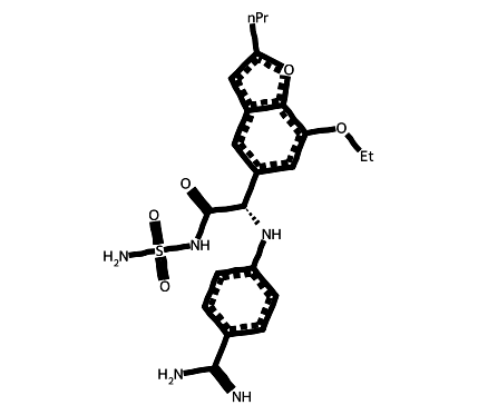 CCCc1cc2cc([C@H](Nc3ccc(C(=N)N)cc3)C(=O)NS(N)(=O)=O)cc(OCC)c2o1